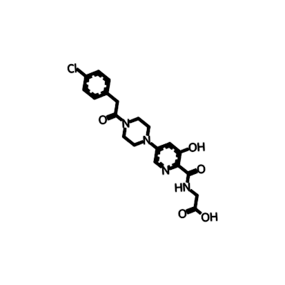 O=C(O)CNC(=O)c1ncc(N2CCN(C(=O)Cc3ccc(Cl)cc3)CC2)cc1O